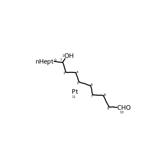 CCCCCCCC(O)CCCCCCCC=O.[Pt]